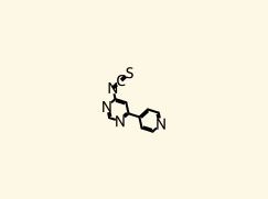 S=C=Nc1cc(-c2ccncc2)ncn1